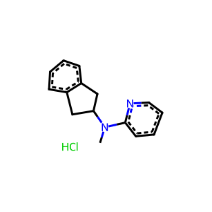 CN(c1ccccn1)C1Cc2ccccc2C1.Cl